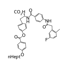 CCCCCCCOc1ccc(C(=O)Oc2ccc(C[C@H](NC(=O)c3ccc(NC(=O)Cc4cc(F)ccc4C)cc3)C(=O)O)cc2)cc1